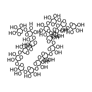 OC[C@@H]1O[C@@H](O[C@H]2[C@H](O[C@@H]3CO[C@@H](O[C@@H]4CO[C@@H](O[C@@H]5CO[C@@H](O[C@@H]6CO[C@@H](O[C@@H]7CO[C@@H](O[C@@H]8CO[C@@H](O[C@@H]9CO[C@@H](O[C@@H]%10CO[C@@H](O[C@@H]%11CO[C@@H](O[C@@H]%12CO[C@@H](O[C@@H]%13CO[C@@H](O[C@@H]%14CO[C@@H](O[C@@H]%15COC(O)[C@H](O)[C@H]%15O)[C@H](O)[C@H]%14O)[C@H](O)[C@H]%13O)[C@H](O)[C@H]%12O)[C@H](O)[C@H]%11O)[C@H](O)[C@H]%10O)[C@H](O)[C@H]9O)[C@H](O)[C@H]8O)[C@H](O)[C@H]7O)[C@H](O)[C@H]6O)[C@H](O)[C@H]5O)[C@H](O)[C@H]4O)[C@H](O)[C@H]3O)OC[C@@H](O[C@@H]3OC[C@@H](O)[C@H](O)[C@H]3O)[C@@H]2O)[C@H](O)[C@H]1O